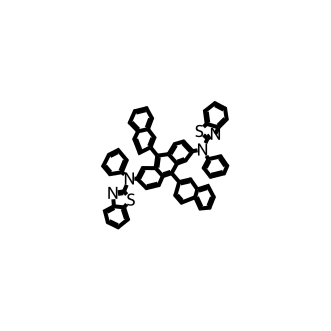 c1ccc(N(c2ccc3c(-c4ccc5ccccc5c4)c4cc(N(c5ccccc5)c5nc6ccccc6s5)ccc4c(-c4ccc5ccccc5c4)c3c2)c2nc3ccccc3s2)cc1